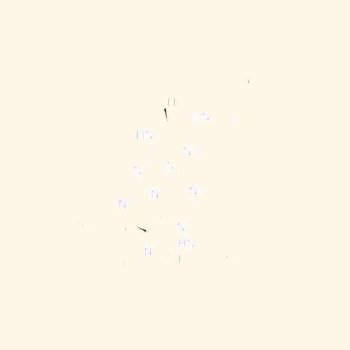 C=C/C(F)=C\N=C(/N)[C@H](C)Nc1nc(Nc2cc(C)[nH]n2)nc(N2CCOC[C@@H]2C(=O)N(C)C)n1